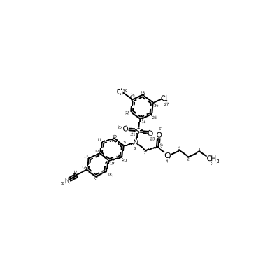 CCCCOC(=O)CN(c1ccc2cc(C#N)ccc2c1)S(=O)(=O)c1cc(Cl)cc(Cl)c1